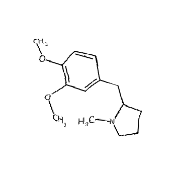 COc1ccc(CC2CCCN2C)cc1OC